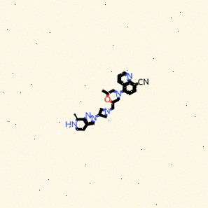 CC1CN(c2ccc(C#N)c3ncccc23)CC(CN2CC(n3cc4c(n3)[C@H](C)NCC4)C2)O1